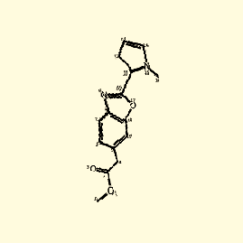 COC(=O)Cc1ccc2nc(C3CC=CN3C)oc2c1